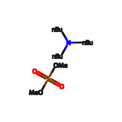 CCCCN(CCCC)CCCC.COS(=O)(=O)OC